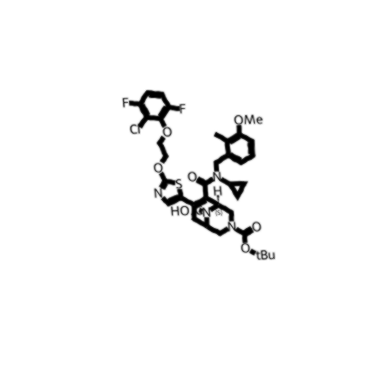 COc1cccc(CN(C(=O)C2=C(c3cnc(OCCOc4c(F)ccc(F)c4Cl)s3)CC3CN(C(=O)OC(C)(C)C)C[C@H]2N3C(=O)O)C2CC2)c1C